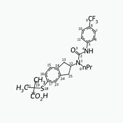 CCCN(C(=O)Nc1ccc(C(F)(F)F)cc1)C1Cc2ccc(SC(C)(C)C(=O)O)cc2C1